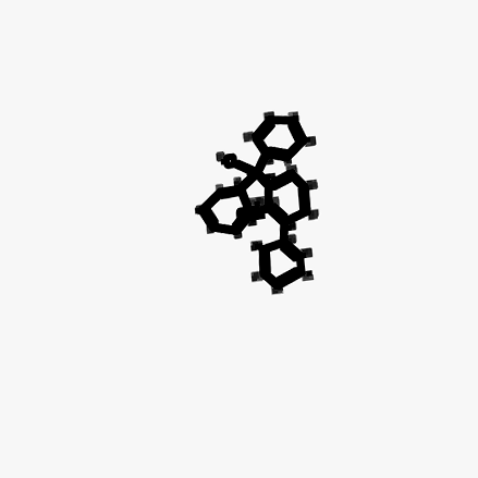 [O]C(c1ccccc1)(c1ccccc1)c1cccc(-c2ccccc2)c1[N+](=O)[O-]